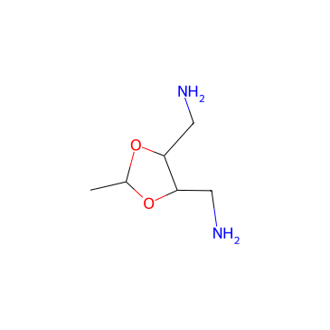 CC1OC(CN)C(CN)O1